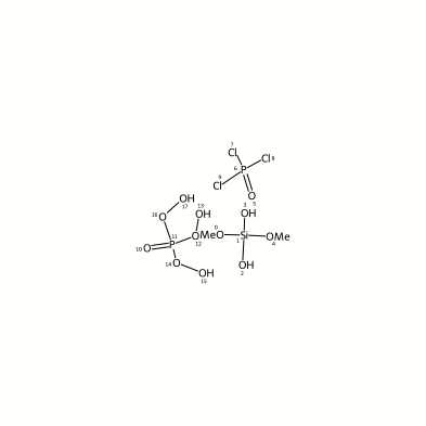 CO[Si](O)(O)OC.O=P(Cl)(Cl)Cl.O=P(OO)(OO)OO